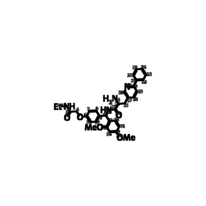 CCNC(=O)COc1ccc(C(NC(=O)[C@@H](N)Cc2ccc(-c3ccccc3)nc2)c2ccc(OC)cc2OC)cc1